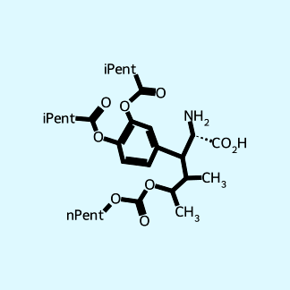 CCCCCOC(=O)OC(C)C(C)C(c1ccc(OC(=O)C(C)CCC)c(OC(=O)C(C)CCC)c1)[C@H](N)C(=O)O